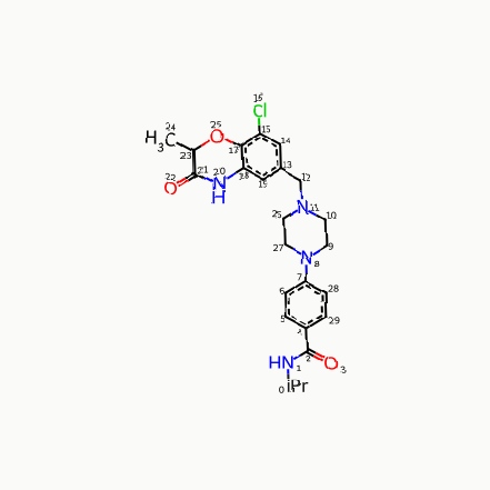 CC(C)NC(=O)c1ccc(N2CCN(Cc3cc(Cl)c4c(c3)NC(=O)C(C)O4)CC2)cc1